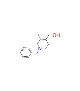 CC1=C(CO)CCN(Cc2ccccc2)C1